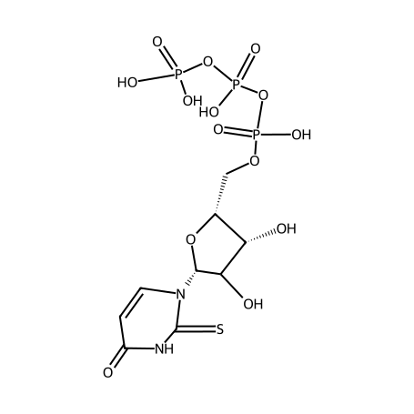 O=c1ccn([C@@H]2O[C@H](COP(=O)(O)OP(=O)(O)OP(=O)(O)O)[C@H](O)C2O)c(=S)[nH]1